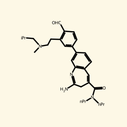 CCCN(CCC)C(=O)C1=Cc2ccc(-c3ccc(C=O)c(CCN(C)CC(C)C)c3)cc2N=C(N)C1